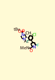 CNC(=O)c1cc(-c2cc(Cl)cc([C@H]3[C@H](C)N(C(=O)OC(C)(C)C)CCN3C(C)=O)c2F)cc(F)n1